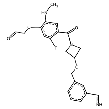 CNc1cc(C(=O)N2CC(OCc3cccc(C=N)c3)C2)c(F)cc1OCC=O